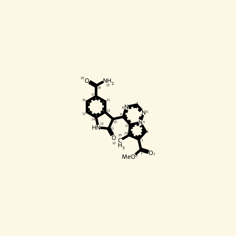 COC(=O)c1cn2ncnc(C3C(=O)Nc4ccc(C(N)=O)cc43)c2c1C